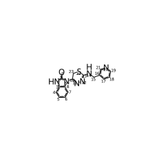 O=c1[nH]c2ccccc2n1C1=NN=C(NCc2cccnc2)SC1